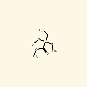 CC[Si](OC)(OC)C(=O)OC